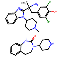 CN1CCC(n2c([C@](N)(Cc3cc(Br)c(O)c(Br)c3)C(=O)O)nc3ccccc32)CC1.O=C1Nc2ccccc2CCN1C1CCNCC1